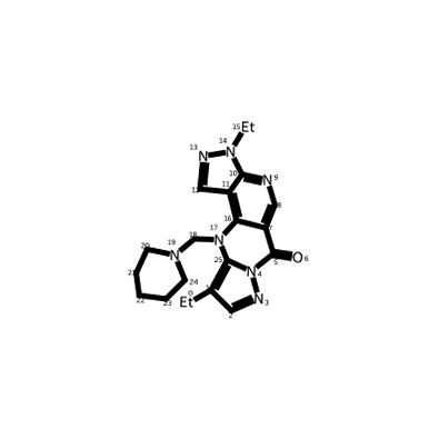 CCc1cnn2c(=O)c3cnc4c(cnn4CC)c3n(CN3CCCCC3)c12